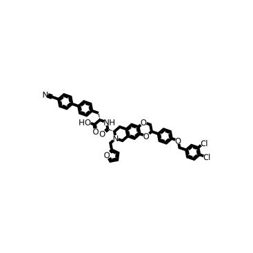 N#Cc1ccc(-c2ccc(C[C@H](NC(=O)[C@@H]3Cc4cc5c(cc4CN3Cc3ccco3)OC(c3ccc(OCc4ccc(Cl)c(Cl)c4)cc3)CO5)C(=O)O)cc2)cc1